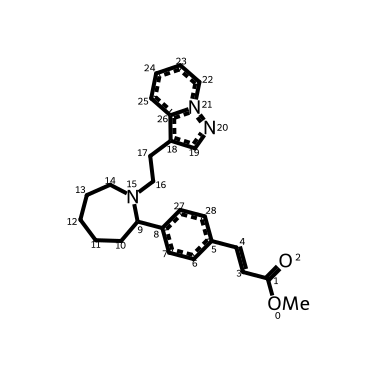 COC(=O)C=Cc1ccc(C2CCCCCN2CCc2cnn3ccccc23)cc1